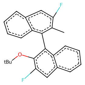 Cc1c(F)cc2ccccc2c1-c1c(OC(C)(C)C)c(F)cc2ccccc12